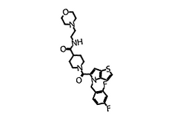 O=C(NCCN1CCOCC1)C1CCN(C(=O)c2cc3sccc3n2Cc2ccc(F)cc2F)CC1